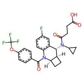 O=C(O)CCC(=O)N(C1CC1)[C@H]1c2cc(F)ccc2N(C(=O)c2ccc(OC(F)(F)F)cc2)[C@@H]2CC[C@@H]21